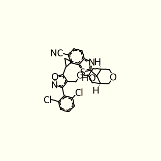 N#Cc1ccc2nc(C3(O)[C@@H]4COC[C@H]3CC(OCc3c(-c5c(Cl)cccc5Cl)noc3C3CC3)C4)sc2c1